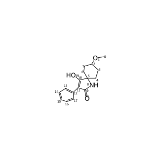 COC1CCC2(CC1)NC(=O)C(c1ccccc1)=C2O